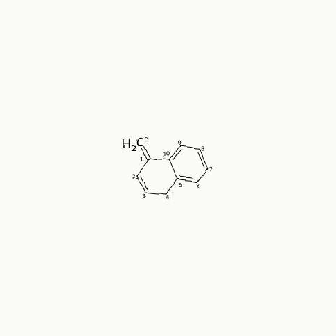 C=C1[C]=CCc2ccccc21